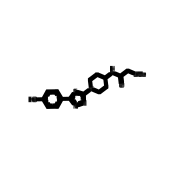 COCC(=O)NC1CCN(c2nnc(-c3ccc(O)cc3)s2)CC1